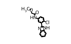 COCC(=O)Nc1ccc(Cl)c(-c2nc3ccccc3[nH]2)c1